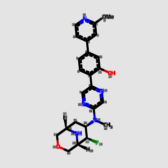 COc1cc(-c2ccc(-c3cnc(N(C)[C@@H]4C[C@H]5COC[C@H](N5)[C@@H]4F)cn3)c(O)c2)ccn1